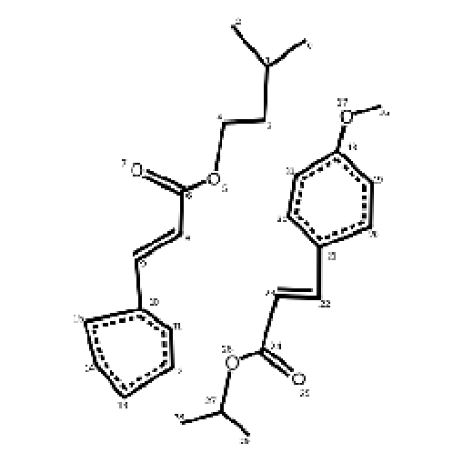 CC(C)CCOC(=O)C=Cc1ccccc1.COc1ccc(C=CC(=O)OC(C)C)cc1